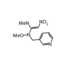 CNC(=C[N+](=O)[O-])N(Cc1cccnc1)OC